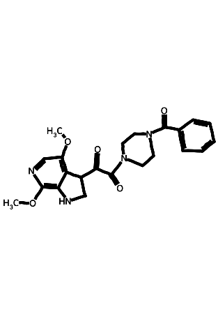 COc1cnc(OC)c2c1C(C(=O)C(=O)N1CCN(C(=O)c3ccccc3)CC1)CN2